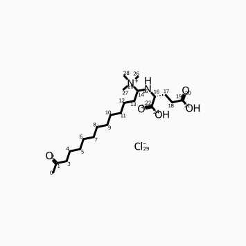 CC(=O)CCCCCCCCCCCC(N[C@H](CCC(=O)O)C(=O)O)[N+](C)(C)C.[Cl-]